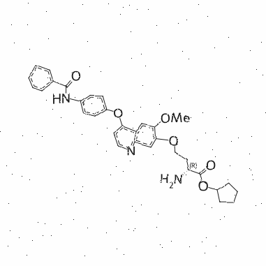 COc1cc2c(Oc3ccc(NC(=O)c4ccccc4)cc3)ccnc2cc1OCC[C@@H](N)C(=O)OC1CCCC1